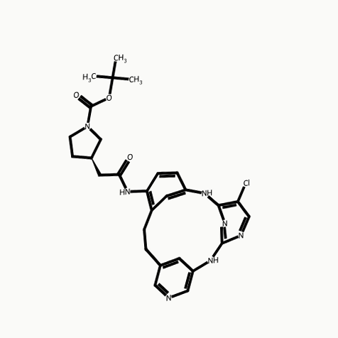 CC(C)(C)OC(=O)N1CC[C@H](CC(=O)Nc2ccc3cc2CCc2cncc(c2)Nc2ncc(Cl)c(n2)N3)C1